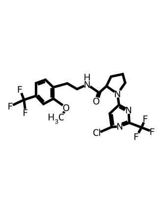 COc1cc(C(F)(F)F)ccc1CCNC(=O)C1CCCN1c1cc(Cl)nc(C(F)(F)F)n1